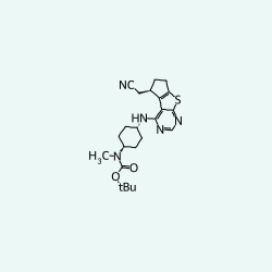 CN(C(=O)OC(C)(C)C)[C@H]1CC[C@H](Nc2ncnc3sc4c(c23)[C@@H](CC#N)CC4)CC1